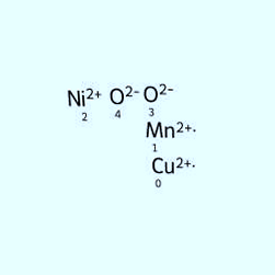 [Cu+2].[Mn+2].[Ni+2].[O-2].[O-2]